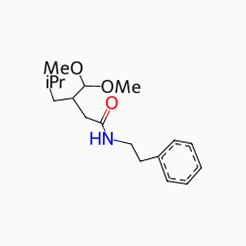 COC(OC)C(CC(=O)NCCc1ccccc1)CC(C)C